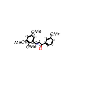 COc1cccc(C(=O)/C=C/c2cc(OC)cc(OC)c2OC)c1